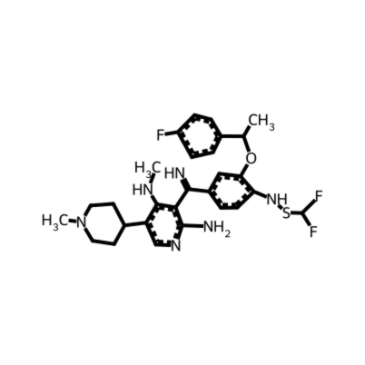 CNc1c(C2CCN(C)CC2)cnc(N)c1C(=N)c1ccc(NSC(F)F)c(OC(C)c2ccc(F)cc2)c1